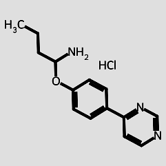 CCCC(N)Oc1ccc(-c2ccncn2)cc1.Cl